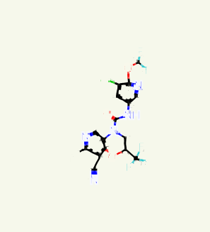 Cc1ncc2c(c1C#N)OC(C(F)(F)F)CN2C(=O)Nc1cnc(OC(F)F)c(Cl)c1